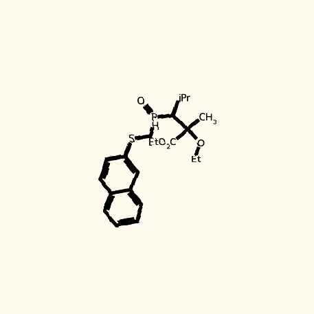 CCOC(=O)C(C)(OCC)C(C(C)C)[PH](=O)CSc1ccc2ccccc2c1